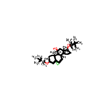 CC(C)(C)[Si](C)(C)O[C@H]1CC[C@]2(C)[C@@H]3[C@@H](CC[C@@]2(Cl)C1)[C@@H]1CC[C@H](O[Si](C)(C)C(C)(C)C)[C@@]1(C)C[C@@]3(C)O